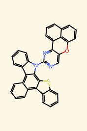 c1cc2c3c(cccc3c1)-c1nc(-n3c4ccccc4c4c5ccccc5c5c6ccccc6sc5c43)ncc1O2